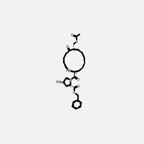 CC(=O)SC[C@@H]1CCCCCC[C@@H](C(=O)N2C[C@H](O)C[C@H]2C(=O)OCc2ccccc2)NCCCCC1=O